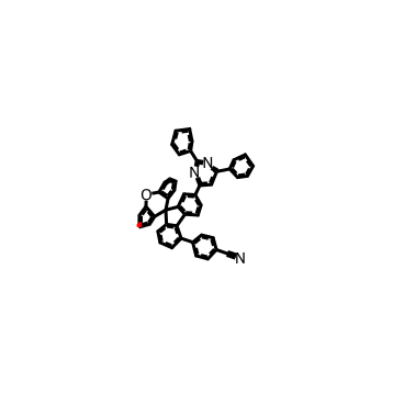 N#Cc1ccc(-c2cccc3c2-c2ccc(-c4cc(-c5ccccc5)nc(-c5ccccc5)n4)cc2C32c3ccccc3Oc3ccccc32)cc1